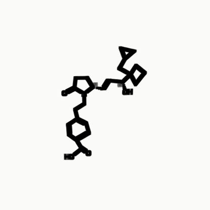 O=C(O)c1ccc(CCN2C(=O)CC[C@@H]2C=C[C@@H](O)C2(CC3CC3)CCC2)cc1